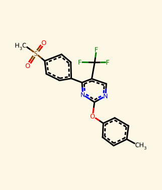 Cc1ccc(Oc2ncc(C(F)(F)F)c(-c3ccc(S(C)(=O)=O)cc3)n2)cc1